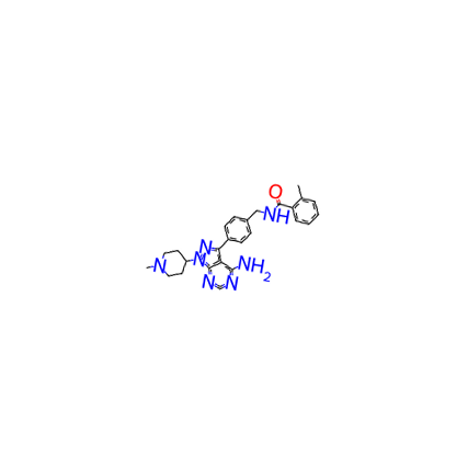 Cc1ccccc1C(=O)NCc1ccc(-c2nn(C3CCN(C)CC3)c3ncnc(N)c23)cc1